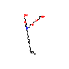 CCCCCCCCCCCCN(CCOCCO)CCOCCOCCO